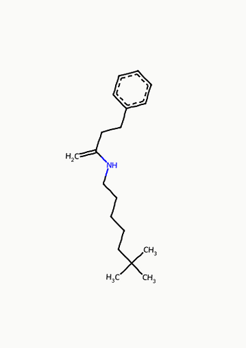 C=C(CCc1ccccc1)NCCCCCC(C)(C)C